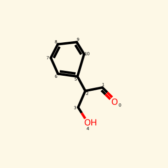 O=CC(CO)c1ccccc1